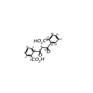 O=C(O)c1ccccc1C(=O)CC(=O)c1ccccc1C(=O)O